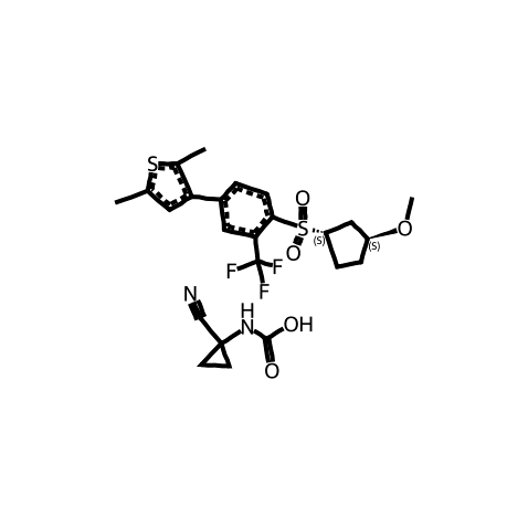 CO[C@H]1CC[C@H](S(=O)(=O)c2ccc(-c3cc(C)sc3C)cc2C(F)(F)F)C1.N#CC1(NC(=O)O)CC1